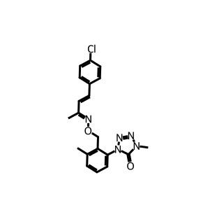 CC(C=Cc1ccc(Cl)cc1)=NOCc1c(C)cccc1-n1nnn(C)c1=O